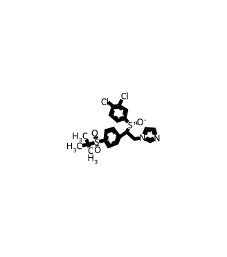 CC(C)(C)S(=O)(=O)c1ccc(C(Cn2ccnc2)[S+]([O-])c2ccc(Cl)c(Cl)c2)cc1